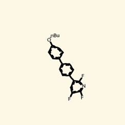 CCCCOc1ccc(-c2ccc(-c3cc(F)c(F)nc3F)cc2)cc1